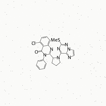 CSc1nc(N2CCCC2c2nc3cccc(Cl)c3c(=O)n2-c2ccccc2)c2nccn2n1